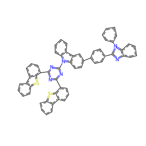 c1ccc(-n2c(-c3ccc(-c4ccc5c(c4)c4ccccc4n5-c4nc(-c5cccc6c5sc5ccccc56)nc(-c5cccc6c5sc5ccccc56)n4)cc3)nc3ccccc32)cc1